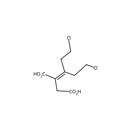 O=C(O)CC(C(=O)O)=C(CCCl)CCCl